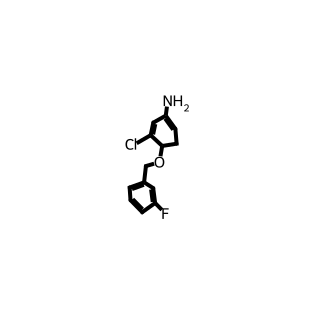 NC1=CCC(OCc2cccc(F)c2)C(Cl)=C1